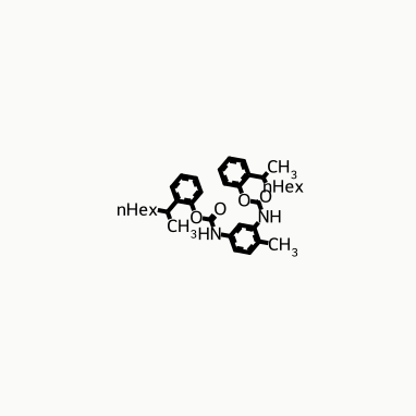 CCCCCCC(C)c1ccccc1OC(=O)Nc1ccc(C)c(NC(=O)Oc2ccccc2C(C)CCCCCC)c1